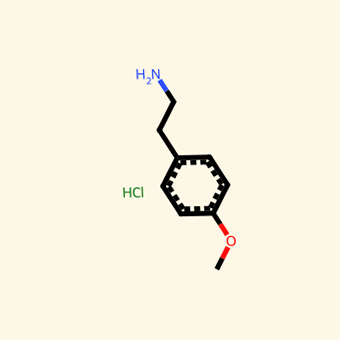 COc1ccc(CCN)cc1.Cl